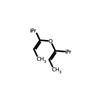 CC=C(OC(=CC)C(C)C)C(C)C